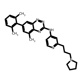 Cc1cccc(C)c1-c1cc(C)c2nc(Nc3ccnc(CCCN4CCCC4)c3)nnc2c1